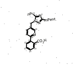 CCCCCc1nc(CCC)n(Cc2ccc(-c3ccccc3C(=O)O)nc2)n1